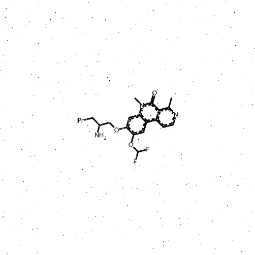 Cc1nccc2c1c(=O)n(C)c1cc(OCC(N)CC(C)C)c(OC(F)F)cc21